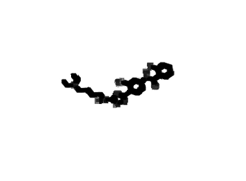 CCN(CC)CCCCNc1nnc(-c2ccc(NC(=O)c3ccccc3F)cc2Cl)o1